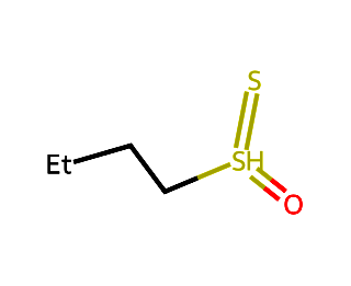 CCCC[SH](=O)=S